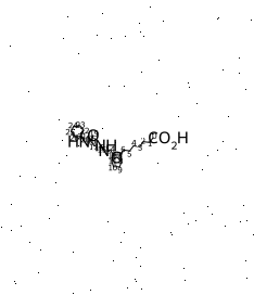 O=C(O)CCCCCCC1C2CCC(O2)C1C=NNCC(=O)Nc1ccccc1